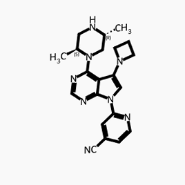 C[C@@H]1CN(c2ncnc3c2c(N2CCC2)cn3-c2cc(C#N)ccn2)[C@@H](C)CN1